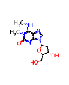 CNc1c2ncn([C@H]3C[C@H](O)[C@@H](CO)O3)c2nc(=O)n1C